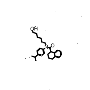 CC(C)c1ccc(N(CCCCCCO)C(=O)C2CCCc3ccccc32)cc1